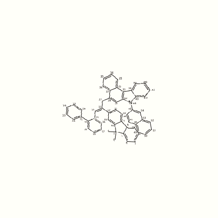 CC1(C)c2ccccc2-c2ccc(/C(=C\c3ccccc3-c3ccccc3)Cc3cc4c(c5ccccc35)c3ccccc3n4-c3ccc4ccccc4c3)cc21